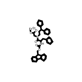 CCOC(CN(CCC(c1ccccc1)c1ccccc1)C(=O)C(Cc1ccccc1)NC(=O)OCC1c2ccccc2-c2ccccc21)OCC